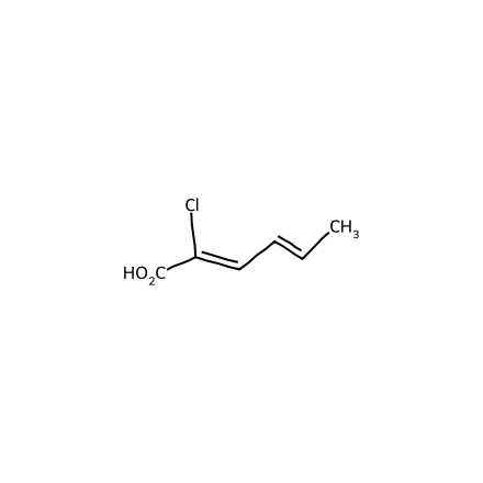 CC=CC=C(Cl)C(=O)O